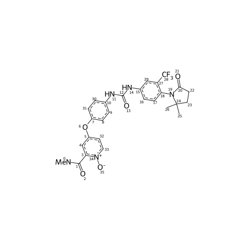 CNC(=O)c1cc(Oc2ccc(NC(=O)Nc3ccc(N4C(=O)CCC4(C)C)c(C(F)(F)F)c3)cc2)cc[n+]1[O-]